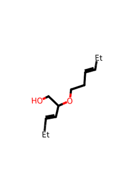 CCC=CCCOC(C=CCC)CO